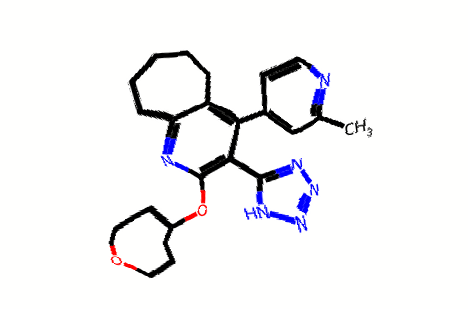 Cc1cc(-c2c3c(nc(OC4CCOCC4)c2-c2nnn[nH]2)CCCCC3)ccn1